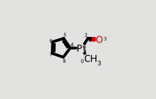 [CH3][Pt]([CH]=O)[C]1=CC=CC1